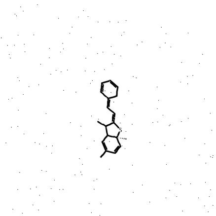 CC1=CC2C(C)/C(=C\C=C3\C=CC=CC3)S[C@@]2(C)C=C1